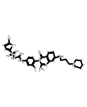 Cc1nc2cc(NCCCN3CCCCC3)ccc2c(=O)n1-c1ccc(NC(=O)NS(=O)(=O)c2ccc(Cl)s2)cc1F